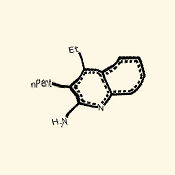 CCCCCc1c(N)nc2ccccc2c1CC